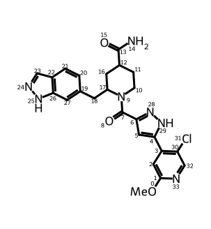 COc1cc(-c2cc(C(=O)N3CCC(C(N)=O)CC3Cc3ccc4cn[nH]c4c3)n[nH]2)c(Cl)cn1